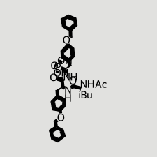 CC[C@H](C)[C@H](NC(C)=O)C(=O)N[C@@H](Cc1ccc(OCc2ccccc2)cc1)C(=O)N[C@H](Cc1ccc(OCc2ccccc2)cc1)P(=O)(O)O